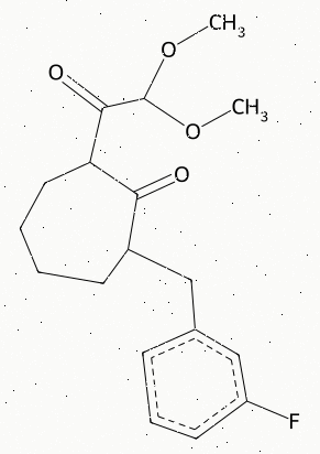 COC(OC)C(=O)C1CCCCC(Cc2cccc(F)c2)C1=O